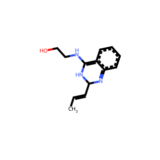 C/C=C/C1N=c2ccccc2=C(NCCO)N1